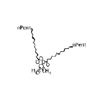 CCCCCC=CCC=CCCCCCCCC(=O)O[C@@H]1C[N+](C)(C)C[C@H]1OC(=O)CCCCCCCC=CCC=CCCCCC.[Cl-]